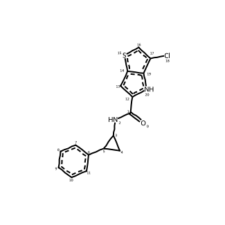 O=C(NC1CC1c1ccccc1)c1cc2scc(Cl)c2[nH]1